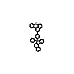 c1ccc(C2(c3ccc(-c4cc5c6c(cccc6c4)Sc4ccccc4-5)cc3)c3ccccc3-c3c2ccc2ccccc32)cc1